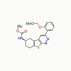 COCOc1ccccc1-c1cc2c3c(sc2nn1)CC[C@@H](NC(=O)OC(C)(C)C)C3